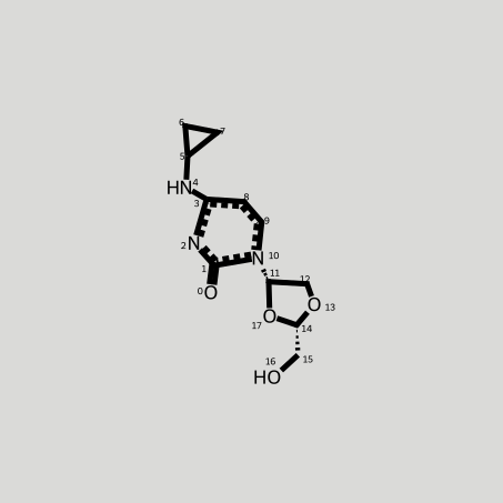 O=c1nc(NC2CC2)ccn1[C@@H]1CO[C@H](CO)O1